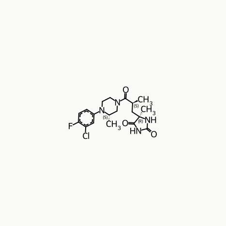 C[C@@H](C[C@@]1(C)NC(=O)NC1=O)C(=O)N1CCN(c2ccc(F)c(Cl)c2)[C@@H](C)C1